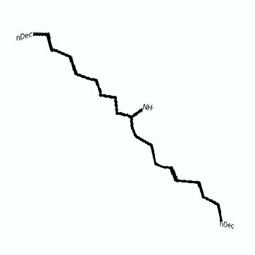 CCCCCCCCCCCCCCCCCCC([NH])CCCCCCCCCCCCCCCCCC